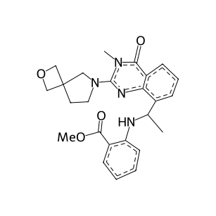 COC(=O)c1ccccc1NC(C)c1cccc2c(=O)n(C)c(N3CCC4(COC4)C3)nc12